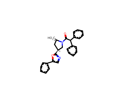 O=C(O)[C@@H]1C[C@H](c2ncc(-c3ccccc3)o2)CN1C(=O)C(c1ccccc1)c1ccccc1